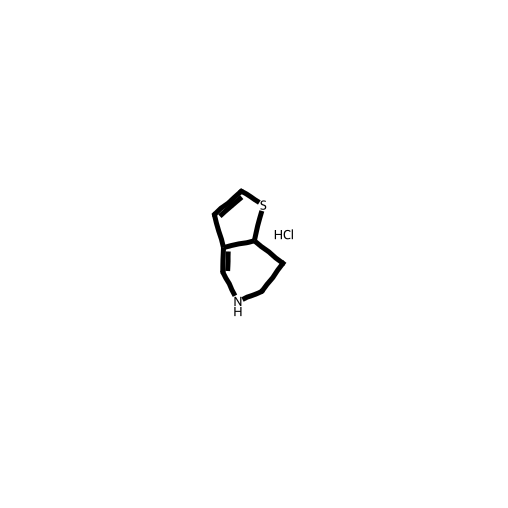 C1=CC2=CNCCC2S1.Cl